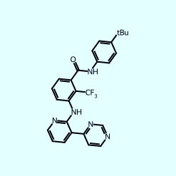 CC(C)(C)c1ccc(NC(=O)c2cccc(Nc3ncccc3-c3ccncn3)c2C(F)(F)F)cc1